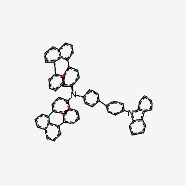 c1ccc(-c2cccc3cccc(-c4ccc(N(c5ccc(-c6ccc(-n7c8ccccc8c8ccccc87)cc6)cc5)c5ccc(-c6cccc7cccc(-c8ccccc8)c67)cc5)cc4)c23)cc1